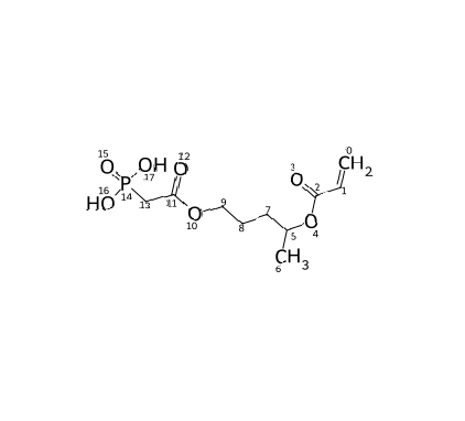 C=CC(=O)OC(C)CCCOC(=O)CP(=O)(O)O